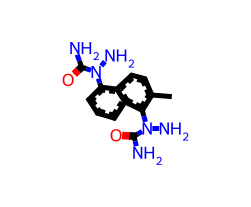 Cc1ccc2c(N(N)C(N)=O)cccc2c1N(N)C(N)=O